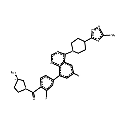 CCCc1noc(C2CCN(c3ncnc4c(-c5ccc(C(=O)N6CC[C@@H](O)C6)c(F)c5)cc(F)cc34)CC2)n1